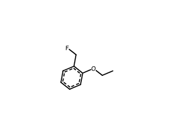 CCOc1ccccc1CF